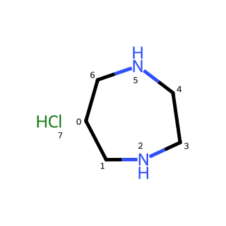 C1CNCCNC1.Cl